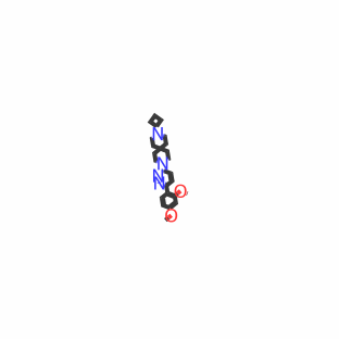 COc1ccc(-c2ccc(N3CCC4(CC3)CCN(C3CCC3)CC4)nn2)c(OC)c1